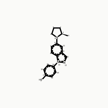 C[C@@H]1CCCN1c1ccc2c(cnn2-c2ccc(F)cc2)c1